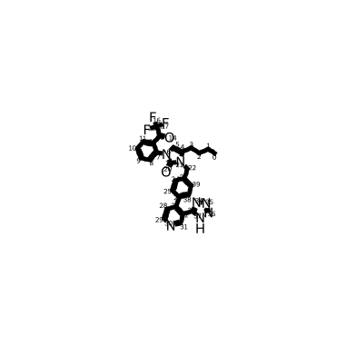 CCCCc1cn(-c2ccccc2C(=O)C(F)(F)F)c(=O)n1Cc1ccc(-c2ccncc2-c2nnn[nH]2)cc1